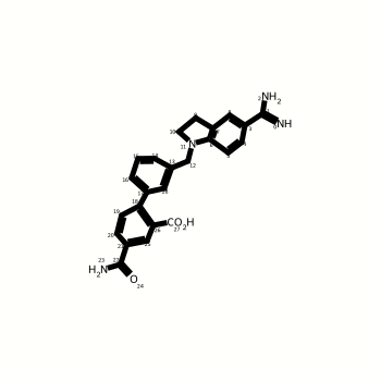 N=C(N)c1ccc2c(c1)CCN2Cc1cccc(-c2ccc(C(N)=O)cc2C(=O)O)c1